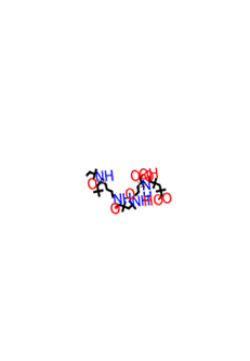 CCC(C)(C)N[C@@H](CCCCNC(=O)C(C)(C)CC(C)(C)NC(=O)CC[C@H](NC(=O)C(C)(C)CC(C)(C)C(=O)O)C(=O)O)C(=O)C(C)(C)C